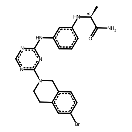 C[C@H](Nc1cccc(Nc2ncnc(N3CCc4cc(Br)ccc4C3)n2)c1)C(N)=O